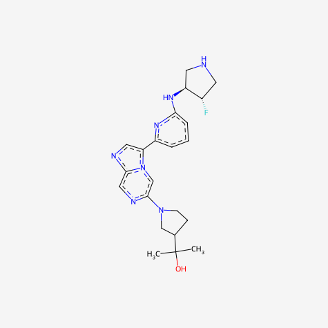 CC(C)(O)C1CCN(c2cn3c(-c4cccc(N[C@H]5CNC[C@@H]5F)n4)cnc3cn2)C1